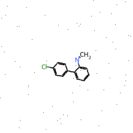 C=Nc1ccccc1-c1ccc(Cl)cc1